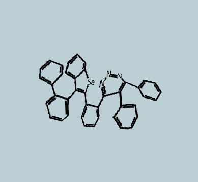 c1ccc(-c2ccccc2-c2c(-c3ccccc3-c3nnnc(-c4ccccc4)c3-c3ccccc3)[se]c3ccccc23)cc1